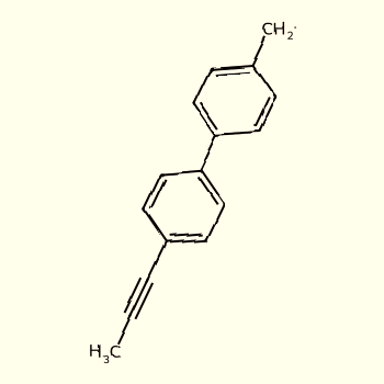 [CH2]c1ccc(-c2ccc(C#CC)cc2)cc1